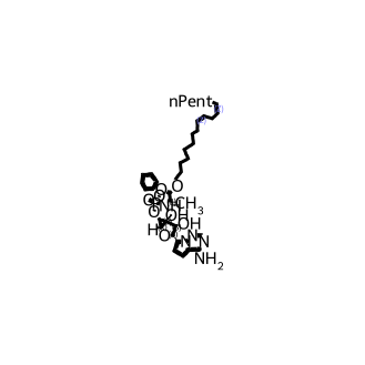 CCCCC/C=C\C/C=C\CCCCCCCCOC(=O)[C@H](C)NP(=O)(Oc1ccccc1)OC1[C@H]2O[C@@H](c3ccc4c(N)ncnn34)[C@H](O)[C@@]12O